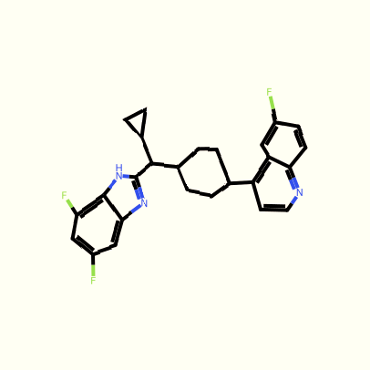 Fc1cc(F)c2[nH]c(C(C3CCC(c4ccnc5ccc(F)cc45)CC3)C3CC3)nc2c1